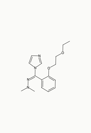 CCOCCOc1ccccc1/C(=N\N(C)C)n1ccnc1